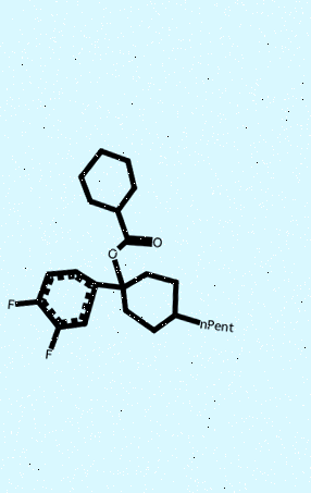 CCCCCC1CCC(OC(=O)C2CCCCC2)(c2ccc(F)c(F)c2)CC1